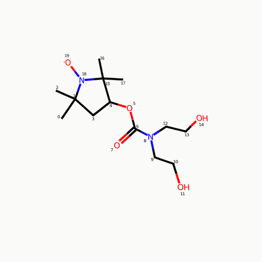 CC1(C)CC(OC(=O)N(CCO)CCO)C(C)(C)N1[O]